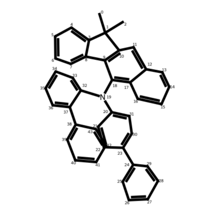 CC1(C)c2ccccc2-c2c1cc1ccccc1c2N(c1ccc(-c2ccccc2)cc1)c1ccccc1-c1ccccc1